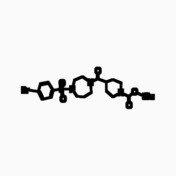 CC(C)(C)OC(=O)N1CCC(C(=O)N2CCCN(S(=O)(=O)c3ccc(Br)cc3)CC2)CC1